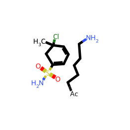 CC(=O)CCCCCN.CC1(Cl)C=CC=C(S(N)(=O)=O)C1